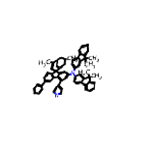 CC1=CC2(c3ccc(-c4ccccc4)cc3-c3c(-c4ccncc4)cc(N(c4ccc5c(c4)C(C)(C)c4ccccc4-5)c4ccc5c(c4)C(C)(C)c4ccccc4-5)cc32)C2CC(C)CC1C2